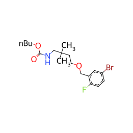 CCCCOC(=O)NCC(C)(C)CCOCc1cc(Br)ccc1F